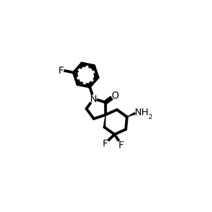 N[C@H]1CC(F)(F)C[C@]2(CCN(c3cccc(F)c3)C2=O)C1